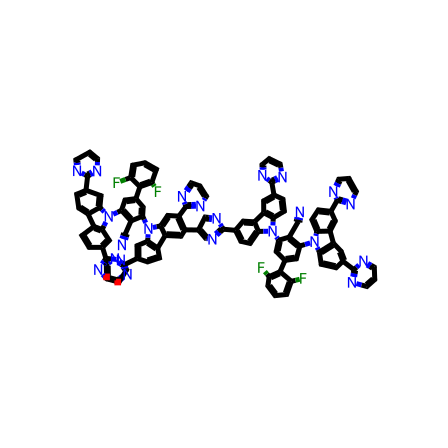 N#Cc1c(-n2c3ccc(-c4ncccn4)cc3c3cc(-c4ncccn4)ccc32)cc(-c2c(F)cccc2F)cc1-n1c2ccc(-c3ncccn3)cc2c2cc(-c3ncc(-c4cc5c6ccc(-c7ncccn7)cc6n(-c6cc(-c7c(F)cccc7F)cc(-n7c8cc(-c9ncccn9)ccc8c8ccc(-c9ncccn9)cc87)c6C#N)c5cc4-c4ncccn4)cn3)ccc21